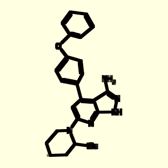 CC(C)(C)C1C[CH]CCN1c1cc(-c2ccc(Oc3ccccc3)cc2)c2c(N)n[nH]c2n1